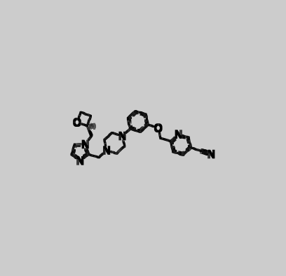 N#Cc1ccc(COc2cccc(N3CCN(Cc4nccn4C[C@@H]4CCO4)CC3)c2)nc1